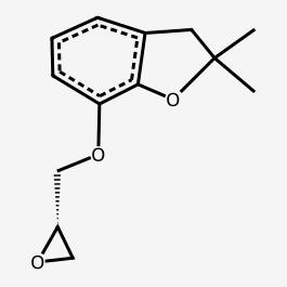 CC1(C)Cc2cccc(OC[C@@H]3CO3)c2O1